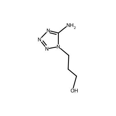 Nc1nnnn1CCCO